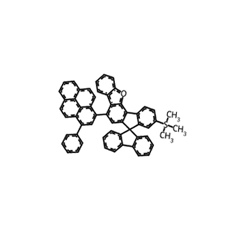 CS(C)(C)c1ccc2c(c1)C1(c3ccccc3-c3ccccc31)c1cc(-c3cc(-c4ccccc4)c4ccc5cccc6ccc3c4c56)c3c(oc4ccccc43)c1-2